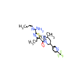 C=C/C=C\N=C(/N)c1nc(CC)c(C(=O)NCC(CC(C)C)c2ccc(C(F)(F)F)nc2)s1